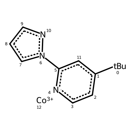 CC(C)(C)c1ccnc(-n2cccn2)c1.[Co+3]